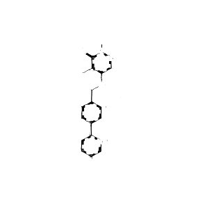 CC(C)(C)n1ncc(SCc2ccc(-c3ccccn3)cc2)c(Cl)c1=O.Cl